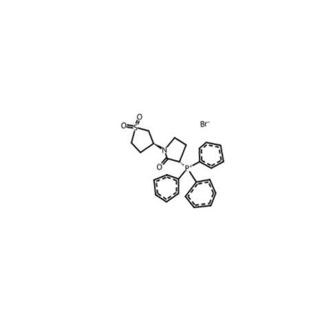 O=C1[C@@H]([P+](c2ccccc2)(c2ccccc2)c2ccccc2)CCN1[C@H]1CCS(=O)(=O)C1.[Br-]